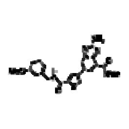 CNC(=O)c1cc(-c2csc(C(=O)NCc3cccc(OC)c3)c2)cn2nc(N)nc12